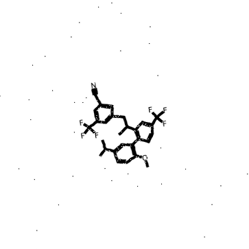 COc1ccc(C(C)C)cc1-c1ccc(C(F)(F)F)cc1C(C)Cc1cc(C#N)cc(C(F)(F)F)c1